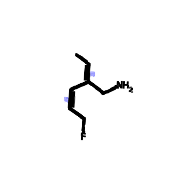 C/C=C(\C=C/CF)CN